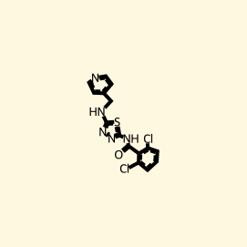 O=C(Nc1nnc(NCc2ccncc2)s1)c1c(Cl)cccc1Cl